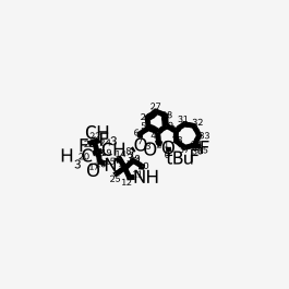 CC(C)(C)OC(=O)c1c(COC[C@@H]2CNCC23CN(C(=O)C(C)(C)C(C)(F)F)C3)cccc1C1CCCC(F)(F)CC1